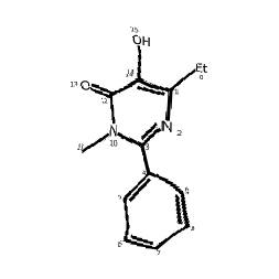 CCc1nc(-c2ccccc2)n(C)c(=O)c1O